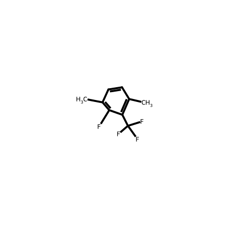 Cc1ccc(C)c(C(F)(F)F)c1F